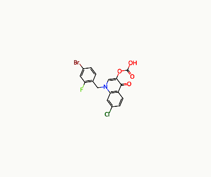 O=C(O)Oc1cn(Cc2ccc(Br)cc2F)c2cc(Cl)ccc2c1=O